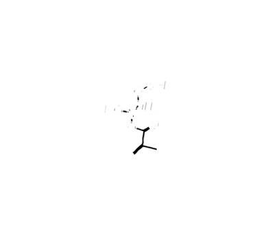 C=C(C)C(=O)ON(O)[SiH2]O[SiH3]